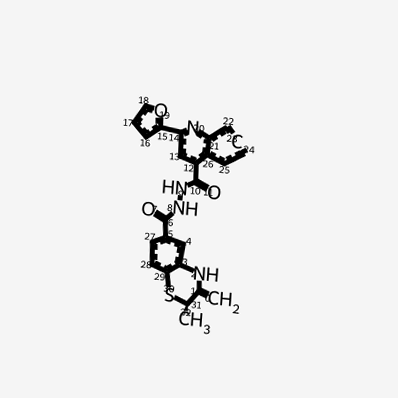 C=C1Nc2cc(C(=O)NNC(=O)c3cc(-c4ccco4)nc4ccccc34)ccc2S[C@@H]1C